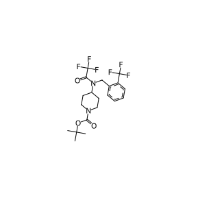 CC(C)(C)OC(=O)N1CCC(N(Cc2ccccc2C(F)(F)F)C(=O)C(F)(F)F)CC1